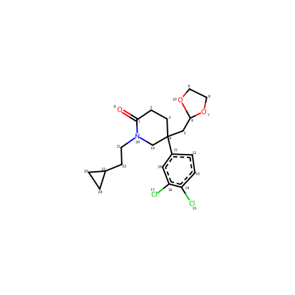 O=C1CCC(CC2OCCO2)(c2ccc(Cl)c(Cl)c2)CN1CCC1CC1